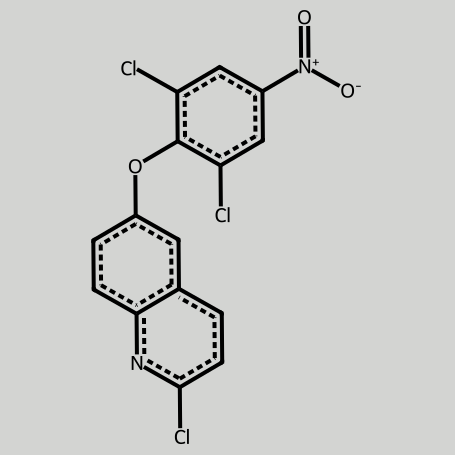 O=[N+]([O-])c1cc(Cl)c(Oc2ccc3nc(Cl)ccc3c2)c(Cl)c1